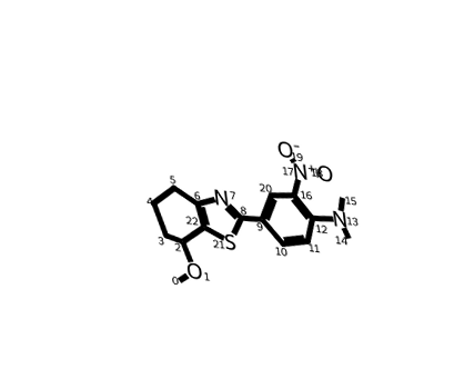 COC1CCCc2nc(-c3ccc(N(C)C)c([N+](=O)[O-])c3)sc21